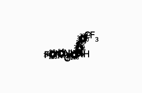 O=C(NC1CCN(c2ccc(F)cc2)CC1)c1ccc2[nH]c3c(c2c1)CN(Cc1ccc(C(F)(F)F)cc1)CC3